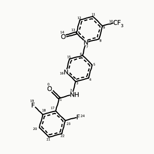 O=C(Nc1ccc(-n2cc(C(F)(F)F)ccc2=O)cn1)c1c(F)cccc1F